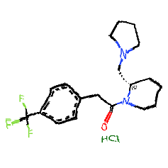 Cl.O=C(Cc1ccc(C(F)(F)F)cc1)N1CCCC[C@H]1CN1CCCC1